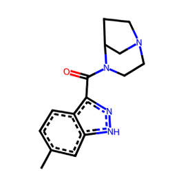 Cc1ccc2c(C(=O)N3CCN4CCC3C4)n[nH]c2c1